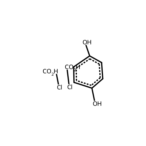 O=C(O)Cl.O=C(O)Cl.Oc1ccc(O)cc1